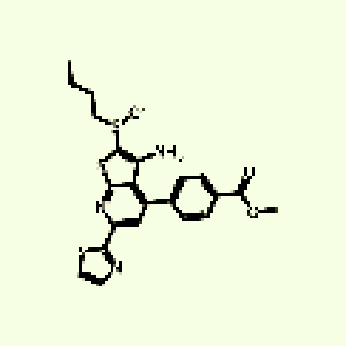 CCCC[S+]([O-])c1sc2nc(-c3nccs3)cc(-c3ccc(C(=O)OC)cc3)c2c1N